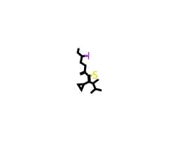 C=C(CCC(I)CC)C1=C(C2CC2)C(C(C)C)CS1